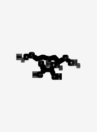 CC(O)C(=O)O.COCCNCCOC